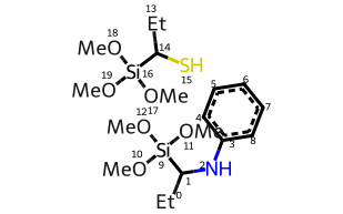 CCC(Nc1ccccc1)[Si](OC)(OC)OC.CCC(S)[Si](OC)(OC)OC